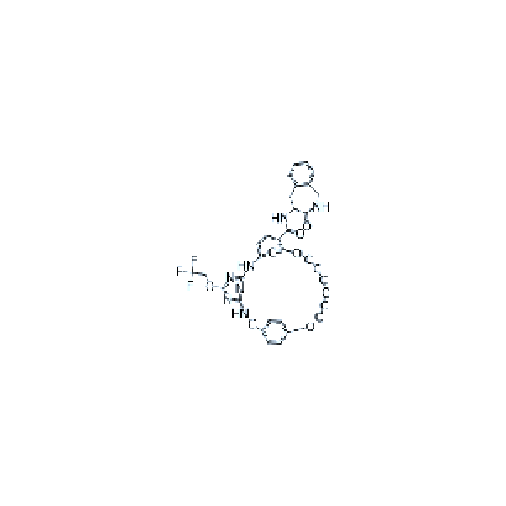 O=C(NC1Cc2ccccc2CNC1=O)c1ccc2cc1OCCCCCCOc1ccc(cc1)CNc1nc(nc(OCC(F)(F)F)n1)N2